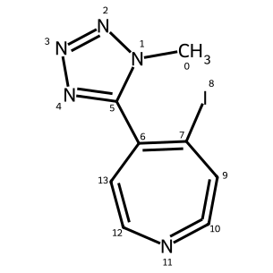 Cn1nnnc1C1=C(I)C=C=NC=C1